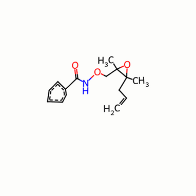 C=CCC1(C)OC1(C)CONC(=O)c1ccccc1